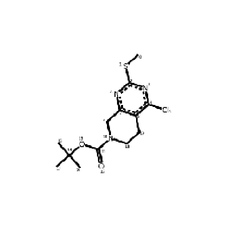 CSc1nc(Cl)c2c(n1)CN(C(=O)OC(C)(C)C)CC2